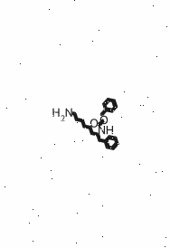 NCCCCCCC(Cc1ccccc1)NC(=O)OCc1ccccc1